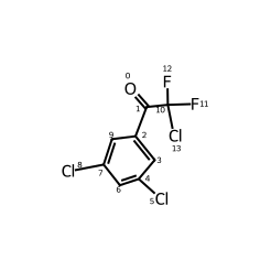 O=C(c1cc(Cl)cc(Cl)c1)C(F)(F)Cl